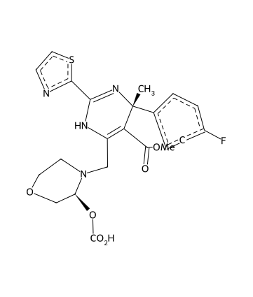 COC(=O)C1=C(CN2CCOC[C@@H]2OC(=O)O)NC(c2nccs2)=N[C@]1(C)c1ccc(F)cc1